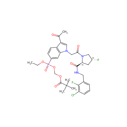 CCOP(=O)(OCOC(=O)C(C)(C)C)c1ccc2c(C(C)=O)cn(CC(=O)N3C[C@H](F)C[C@H]3C(=O)NCc3cccc(Cl)c3F)c2c1